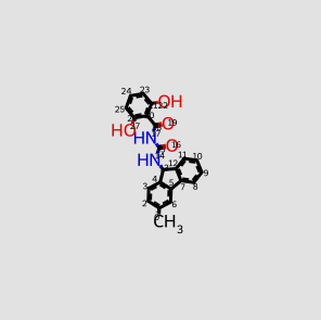 Cc1ccc2c(c1)-c1ccccc1C2NC(=O)NC(=O)c1c(O)cccc1O